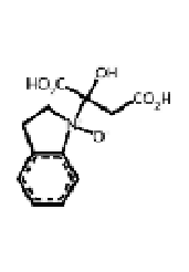 O=C(O)CC(O)(C(=O)O)[N+]1([O-])CCc2ccccc21